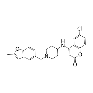 Cc1cc2cc(CN3CCC(Nc4cc(=O)oc5ccc(Cl)cc45)CC3)ccc2o1